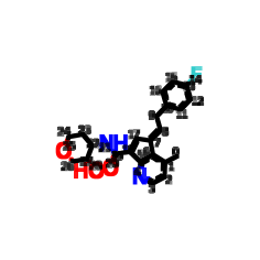 Cc1ccnc2c1/C(=C/Cc1ccc(F)cc1)C=C2C(=O)N[C@H]1CCOCC1O